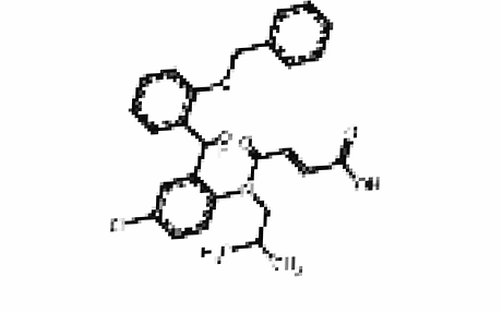 CC(C)CN(C(=O)/C=C/C(=O)O)c1ccc(Cl)cc1C(O)c1ccccc1OCc1ccccc1